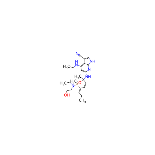 CC/C=C(\C=C/C(C)(Nc1cc(NCC)c2c(C#N)c[nH]c2n1)OC)SN(CC)CCO